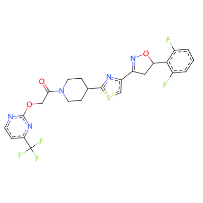 O=C(COc1nccc(C(F)(F)F)n1)N1CCC(c2nc(C3=NOC(c4c(F)cccc4F)C3)cs2)CC1